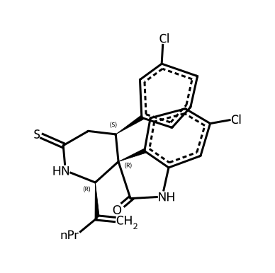 C=C(CCC)[C@H]1NC(=S)C[C@@H](c2cccc(Cl)c2)[C@]12C(=O)Nc1cc(Cl)ccc12